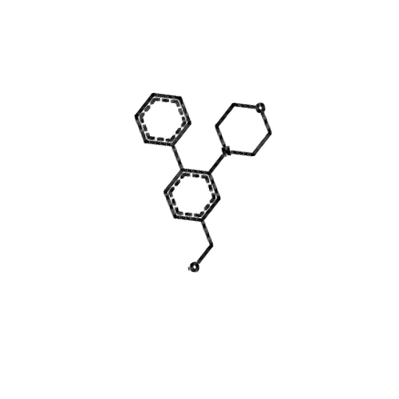 [O]Cc1ccc(-c2ccccc2)c(N2CCOCC2)c1